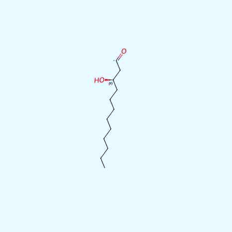 CCCCCCCCC[C@@H](O)C[C]=O